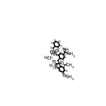 CCOC(Cc1ccc(C(=N)N)cc1NS(=O)(=O)Cc1ccccc1)(C(N)=O)c1ccc(OC)cc1F.Cl